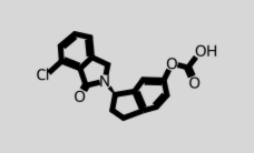 O=C(O)Oc1ccc2c(c1)[C@H](N1Cc3cccc(Cl)c3C1=O)CC2